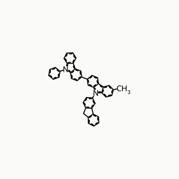 Cc1ccc2c(c1)c1ccc(-c3ccc4c(c3)c3ccccc3n4-c3ccccc3)cc1n2-c1ccc2c(c1)-c1ccccc1C2